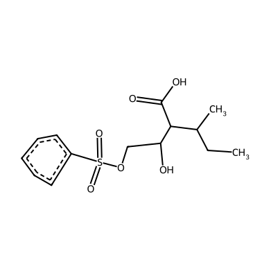 CCC(C)C(C(=O)O)C(O)COS(=O)(=O)c1ccccc1